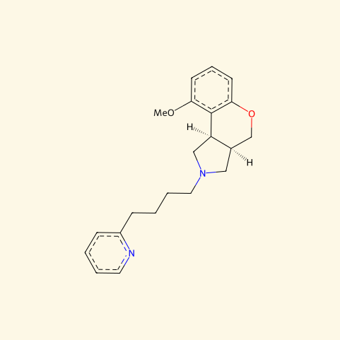 COc1cccc2c1[C@@H]1CN(CCCCc3ccccn3)C[C@@H]1CO2